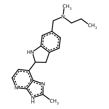 CCCN(C)Cc1ccc2c(c1)NC(c1ccnc3[nH]c(C)nc13)C2